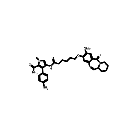 COc1cc2c(cc1OCCCCCC(=O)Nc1cn(C)c(C(N)=O)c1-c1ccc(N)cc1)N=CC1CCCCN1C2=O